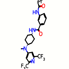 CC(C)C(=O)Nc1cccc(C(=O)N[C@H]2CC[C@@H](N(C)c3cc(C(F)(F)F)nc(C(F)(F)F)c3)CC2)c1